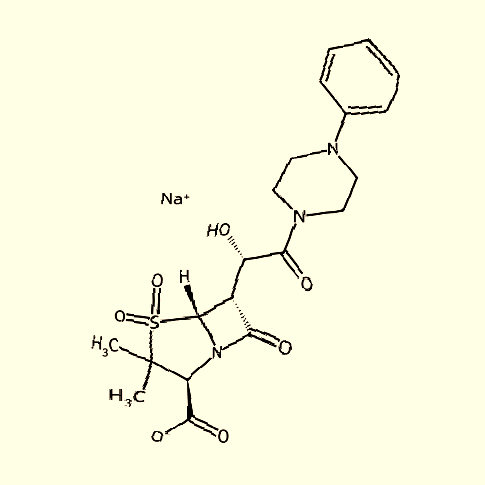 CC1(C)[C@H](C(=O)[O-])N2C(=O)[C@@H]([C@H](O)C(=O)N3CCN(c4ccccc4)CC3)[C@H]2S1(=O)=O.[Na+]